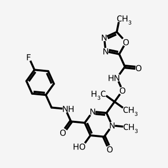 Cc1nnc(C(=O)NOC(C)(C)c2nc(C(=O)NCc3ccc(F)cc3)c(O)c(=O)n2C)o1